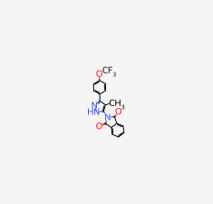 Cc1c(-c2ccc(OC(F)(F)F)cc2)n[nH]c1N1C(=O)c2ccccc2C1=O